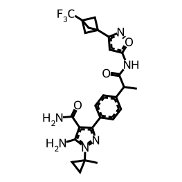 CC(C(=O)Nc1cc(C23CC(C(F)(F)F)(C2)C3)no1)c1ccc(-c2nn(C3(C)CC3)c(N)c2C(N)=O)cc1